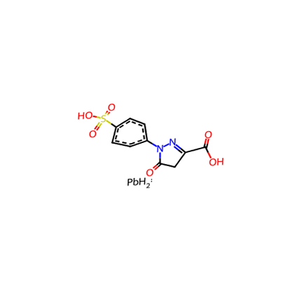 O=C(O)C1=NN(c2ccc(S(=O)(=O)O)cc2)C(=O)C1.[PbH2]